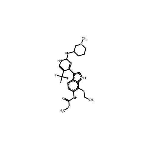 CCOc1c(NC(=O)OC)ccc2c(C3=NC(NC4CCCN(C)C4)NC=C3C(F)(F)F)c[nH]c12